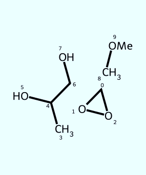 C1OO1.CC(O)CO.COC